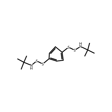 CC(C)(C)NSSc1ccc(SSNC(C)(C)C)cc1